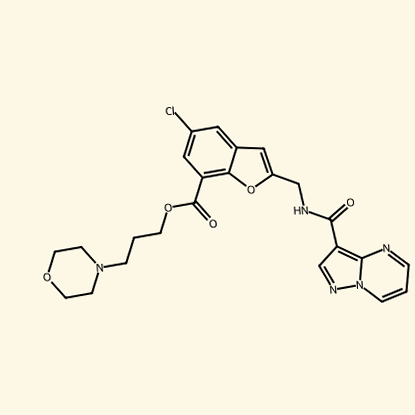 O=C(OCCCN1CCOCC1)c1cc(Cl)cc2cc(CNC(=O)c3cnn4cccnc34)oc12